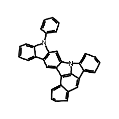 c1ccc(-n2c3ccccc3c3cc4c5c6ccccc6cc6c7ccccc7n(c4cc32)c65)cc1